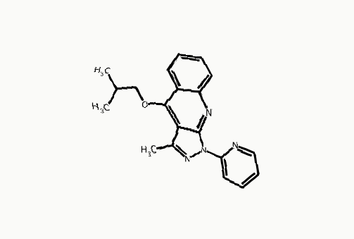 Cc1nn(-c2ccccn2)c2nc3ccccc3c(OCC(C)C)c12